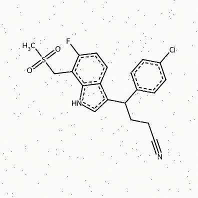 CS(=O)(=O)Cc1c(F)ccc2c(C(CCC#N)c3ccc(Cl)cc3)c[nH]c12